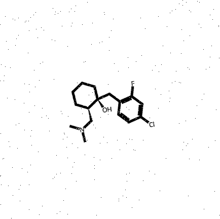 CN(C)C[C@H]1CCCC[C@]1(O)Cc1ccc(Cl)cc1F